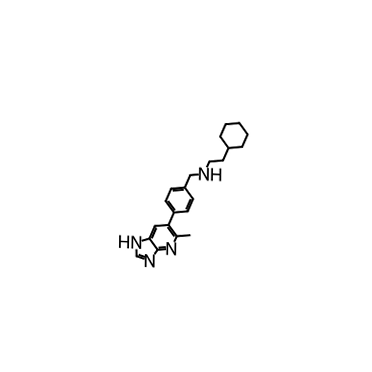 Cc1nc2nc[nH]c2cc1-c1ccc(CNCCC2CCCCC2)cc1